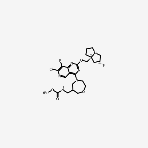 CC(C)(C)OC(=O)NCC1COCCN(c2nc(OC[C@@]34CCCN3C[C@H](F)C4)nc3c(F)c(Cl)ncc23)C1